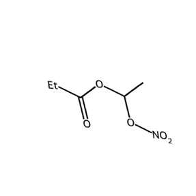 CCC(=O)OC(C)O[N+](=O)[O-]